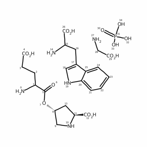 NC(CCC(=O)O)C(=O)O[C@H]1CN[C@H](C(=O)O)C1.NC(Cc1c[nH]c2ccccc12)C(=O)O.NCC(=O)O.O=P(O)(O)O